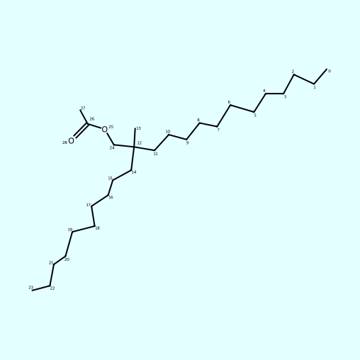 CCCCCCCCCCCCC(C)(CCCCCCCCCC)COC(C)=O